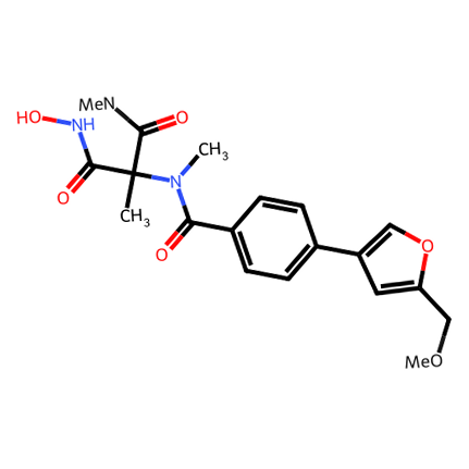 CNC(=O)C(C)(C(=O)NO)N(C)C(=O)c1ccc(-c2coc(COC)c2)cc1